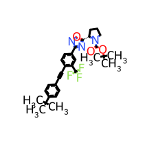 CC(C)(C)OC(=O)N1CCC[C@H]1c1nc(-c2ccc(C#Cc3ccc(C(C)(C)C)cc3)c(C(F)(F)F)c2)no1